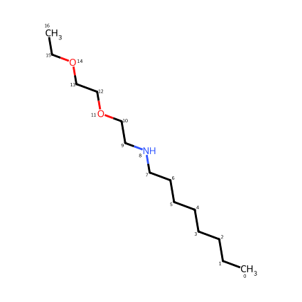 CCCCCCCCNCCOCCOCC